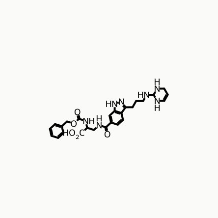 O=C(NC(CNC(=O)c1ccc2c(CCCNC3NC=CCN3)n[nH]c2c1)C(=O)O)OCc1ccccc1